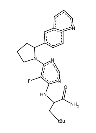 CC(C)(C)CC(Nc1ncnc(N2CCCC2c2ccc3ncccc3c2)c1F)C(N)=O